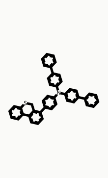 c1ccc(-c2ccc(N(c3ccc(-c4ccccc4)cc3)c3ccc(-c4cccc5c4CSc4ccccc4-5)cc3)cc2)cc1